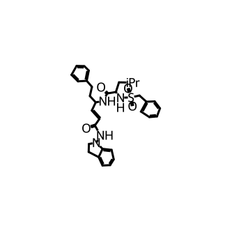 CC(C)CC(NS(=O)(=O)Cc1ccccc1)C(=O)NC(C=CC(=O)NN1CCc2ccccc21)CCc1ccccc1